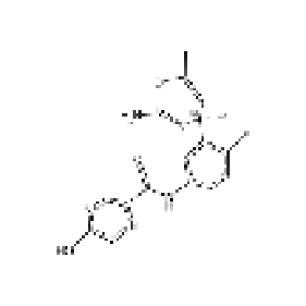 CC1=C[C@@](C)(c2cc(NC(=O)c3cnc(O)cn3)ccc2F)N=C(N)O1